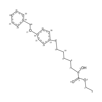 CCOC(=O)C(O)CCCCCCc1ccc(OCc2ccccc2)cc1